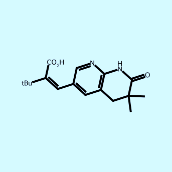 CC(C)(C)C(=Cc1cnc2c(c1)CC(C)(C)C(=O)N2)C(=O)O